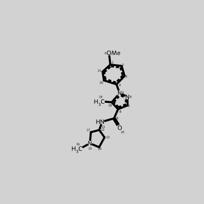 COc1ccc(-n2ncc(C(=O)NC3CCN(C)C3)c2C)cc1